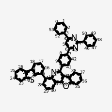 c1ccc(-c2cc(-c3ccc(-c4nc5c(-c6cccc7c6sc6ccccc67)cccc5c5oc6ccccc6c45)cc3)nc(-c3ccccc3)n2)cc1